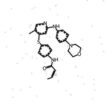 C/C=C\C(=O)Nc1ccc(Sc2cc(Nc3ccc(N4CCOCC4)cc3)ncc2C)cc1